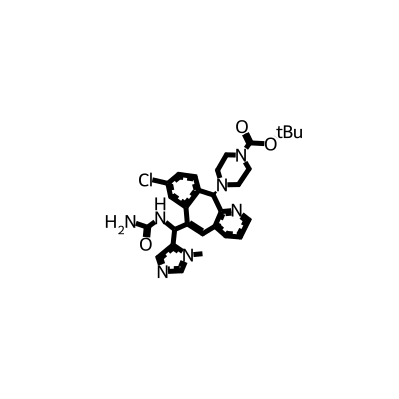 Cn1cncc1C(NC(N)=O)C1=Cc2cccnc2[C@@H](N2CCN(C(=O)OC(C)(C)C)CC2)c2ccc(Cl)cc21